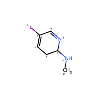 CNC1CC=C(I)C=N1